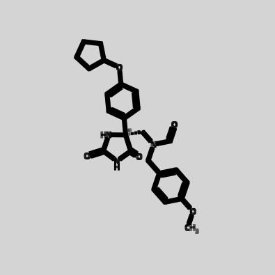 COc1ccc(CN(C=O)C[C@@]2(c3ccc(OC4CCCC4)cc3)NC(=O)NC2=O)cc1